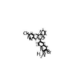 CC(c1ncccn1)N(Cc1ccc(Cl)nn1)C(=O)c1ccc2nc(N)c(Br)cc2c1